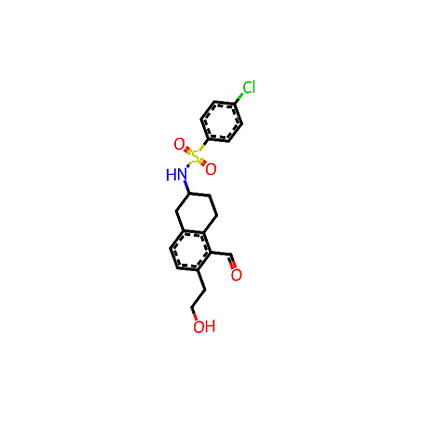 O=Cc1c(CCO)ccc2c1CCC(NS(=O)(=O)c1ccc(Cl)cc1)C2